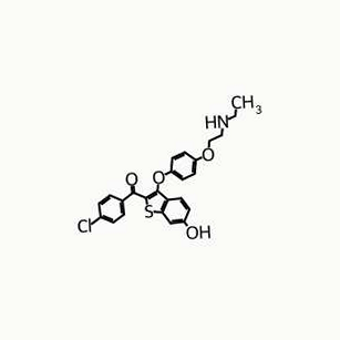 CCNCCOc1ccc(Oc2c(C(=O)c3ccc(Cl)cc3)sc3cc(O)ccc23)cc1